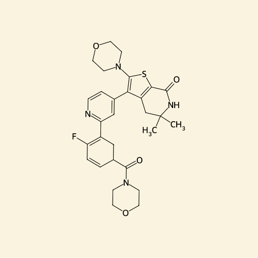 CC1(C)Cc2c(sc(N3CCOCC3)c2-c2ccnc(C3=C(F)C=CC(C(=O)N4CCOCC4)C3)c2)C(=O)N1